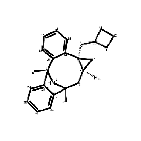 C[C@]12N[C@](C)(C[C@@H]3C[C@]3(CC3CCC3)c3ccccc31)c1ccccc12